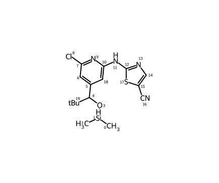 C[SiH](C)OC(c1cc(Cl)nc(Nc2ncc(C#N)s2)c1)C(C)(C)C